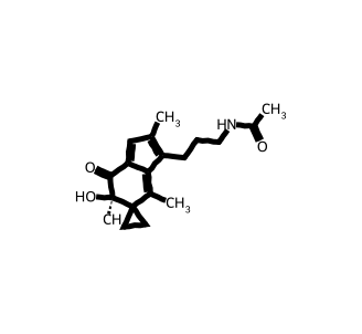 CC(=O)NCCCC1=C(C)C=C2C(=O)[C@](C)(O)C3(CC3)C(C)=C21